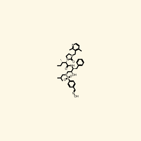 CC[C@H](C)[C@@H](C(=O)N[C@@H](Cc1ccccc1)[C@@H](O)CN(CC(C)C)S(=O)(=O)c1ccc(C=NO)cc1)N1CCN(Cc2c(C)ccnc2C)C1=O